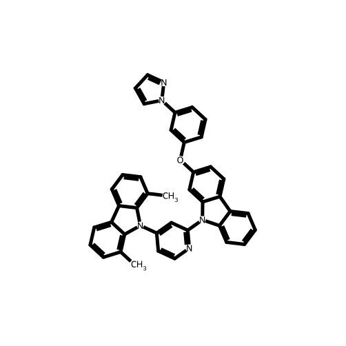 Cc1cccc2c3cccc(C)c3n(-c3ccnc(-n4c5ccccc5c5ccc(Oc6cccc(-n7cccn7)c6)cc54)c3)c12